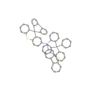 c1ccc(C2(c3ccccc3N(c3ccc4c(c3)C3(c5ccccc5S4)c4ccccc4-c4ccccc43)c3ccc4c(c3)sc3ccccc34)c3ccccc3-c3ccccc32)cc1